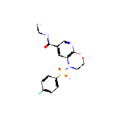 CC(C)CNC(=O)c1cnc2c(c1)N(S(=O)(=O)c1ccc(F)cc1)CCO2